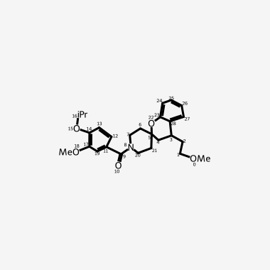 COCCC1CC2(CCN(C(=O)c3ccc(OC(C)C)c(OC)c3)CC2)Oc2ccccc21